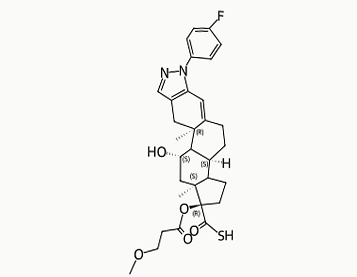 COCCC(=O)O[C@]1(C(=O)S)CCC2[C@@H]3CCC4=Cc5c(cnn5-c5ccc(F)cc5)C[C@]4(C)C3[C@@H](O)C[C@@]21C